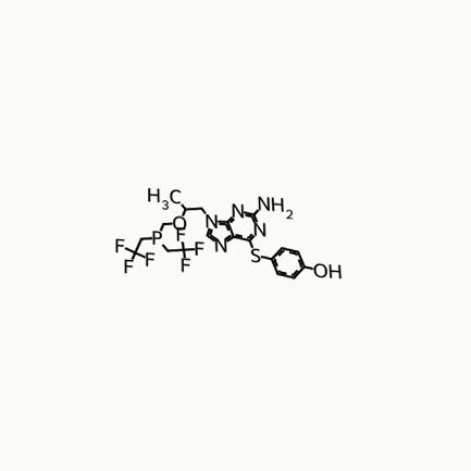 CC(Cn1cnc2c(Sc3ccc(O)cc3)nc(N)nc21)OCP(CC(F)(F)F)CC(F)(F)F